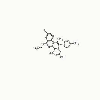 CCOc1nc2c(C)c(CC(=O)O)c(-c3ccc(C)cc3)c(C)c2c2ncc(F)cc12